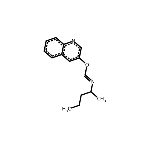 CCCC(C)/N=C/Oc1cnc2ccccc2c1